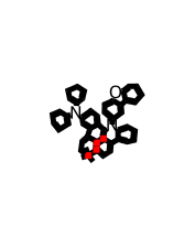 CC(C)(C)c1ccc(-c2ccccc2N(c2ccc3oc4ccccc4c3c2)c2cc3ccccc3c3cc(N(C4=CCCC=C4)c4ccccc4)ccc23)cc1